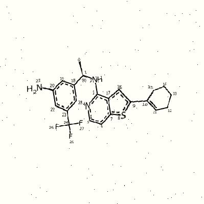 C[C@@H](Nc1nccc2sc(C3=CCCCC3)cc12)c1cc(N)cc(C(F)(F)F)c1